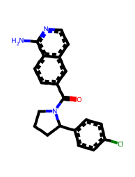 Nc1nccc2cc(C(=O)N3CCCC3c3ccc(Cl)cc3)ccc12